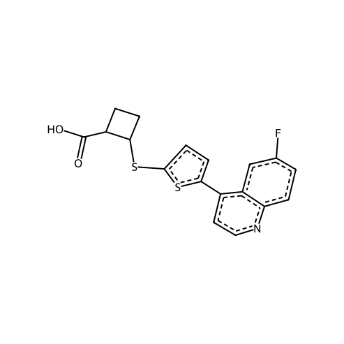 O=C(O)C1CCC1Sc1ccc(-c2ccnc3ccc(F)cc23)s1